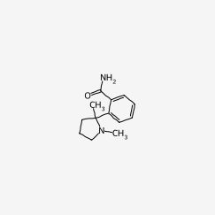 CN1CCCC1(C)c1ccccc1C(N)=O